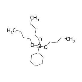 CCCCO[Si](OCCCC)(OCCCC)C1CCCCC1